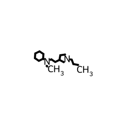 CCCCN1CCC(CCN(CC)C2CCCCC2)C1